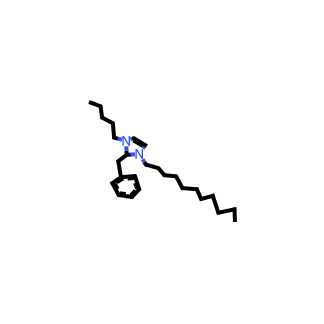 CCCCCCCCCCCN1C=CN(CCCCC)C1Cc1ccccc1